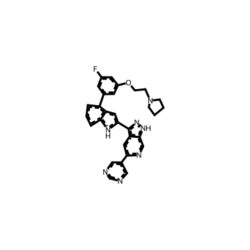 Fc1cc(OCCN2CCCC2)cc(-c2cccc3[nH]c(-c4n[nH]c5cnc(-c6cncnc6)cc45)cc23)c1